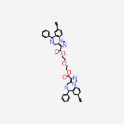 C#Cc1ccc2c(c1)C(c1ccccc1)=NCc1c(C(=O)OCCOCCOC(=O)c3ncn4c3CN=C(c3ccccc3)C3=C4C=CC(C#C)C3)ncn1-2